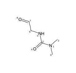 CN(C)C(=O)NCC=O